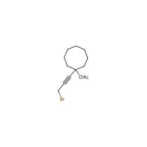 CC(=O)OC1(C#CCBr)CCCCCCC1